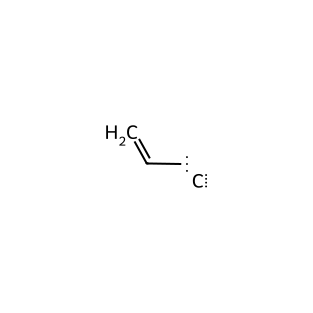 [C].[C]C=C